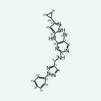 Brc1cnc(NCc2cnn(-c3ccccc3)n2)nc1Nc1cc(C2CC2)n[nH]1